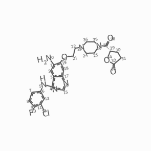 Nc1cc2c(Nc3ccc(F)c(Cl)c3)ncnc2cc1OCCN1CCN(C(=O)[C@@H]2CCC(=O)O2)CC1